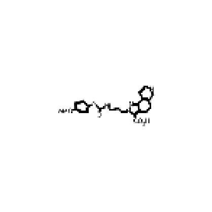 COc1ccc(NC(=O)NCCCn2nc3c(c2C(=O)O)CCc2cnccc2-3)cc1